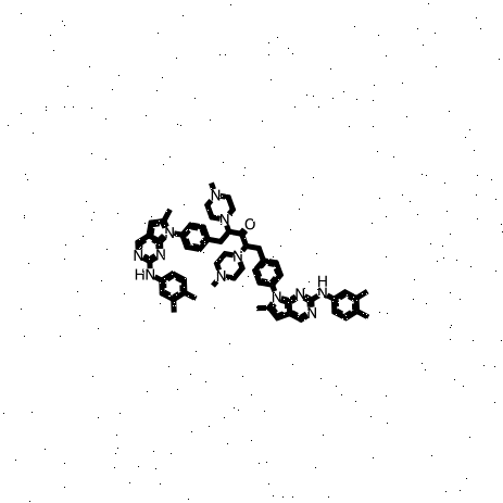 Cc1ccc(Nc2ncc3cc(C)n(-c4ccc(CC(C(=O)C(Cc5ccc(-n6c(C)cc7cnc(Nc8ccc(C)c(C)c8)nc76)cc5)N5CCN(C)CC5)N5CCN(C)CC5)cc4)c3n2)cc1C